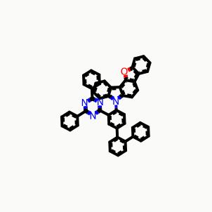 c1ccc(-c2nc(-c3ccccc3)nc(-c3cc(-c4ccccc4-c4ccccc4)ccc3-n3c4ccccc4c4c5oc6ccccc6c5ccc43)n2)cc1